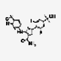 CC(C)(O)c1cc(F)c(-c2cc(C(N)=O)c(Nc3ccc4nonc4n3)s2)c(F)c1